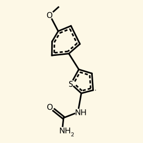 COc1ccc(-c2c[c]c(NC(N)=O)s2)cc1